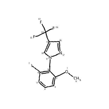 COc1cccc(I)c1-n1cc(C(F)(F)F)cn1